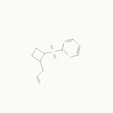 C=CCC1CCC1S(=O)(=O)c1ncccn1